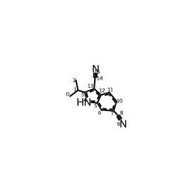 CC(C)c1[nH]c2cc(C#N)ccc2c1C#N